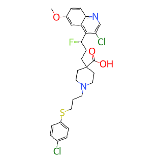 COc1ccc2ncc(Cl)c([C@H](F)CCC3(C(=O)O)CCN(CCCSc4ccc(Cl)cc4)CC3)c2c1